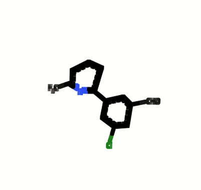 O=Cc1cc(Cl)cc(-c2cccc(C(F)(F)F)n2)c1